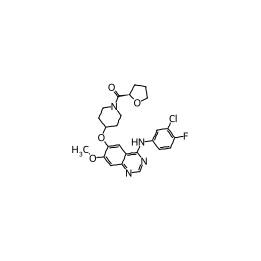 COc1cc2ncnc(Nc3ccc(F)c(Cl)c3)c2cc1OC1CCN(C(=O)[C@H]2CCCO2)CC1